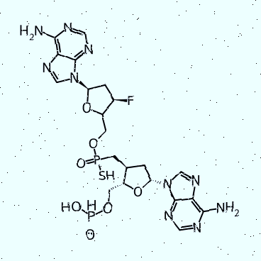 Nc1ncnc2c1ncn2[C@H]1C[C@@H](F)C(COP(=O)(S)C[C@H]2C[C@H](n3cnc4c(N)ncnc43)O[C@@H]2CO[PH](=O)O)O1